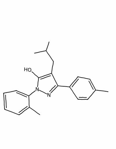 Cc1ccc(-c2nn(-c3ccccc3C)c(O)c2CC(C)C)cc1